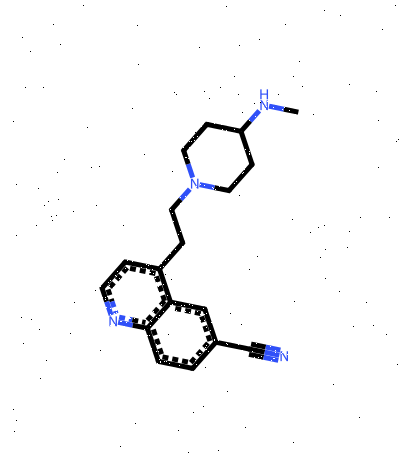 CNC1CCN(CCc2ccnc3ccc(C#N)cc23)CC1